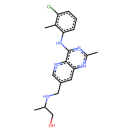 Cc1nc(Nc2cccc(Cl)c2C)c2ncc(CNC(C)CO)cc2n1